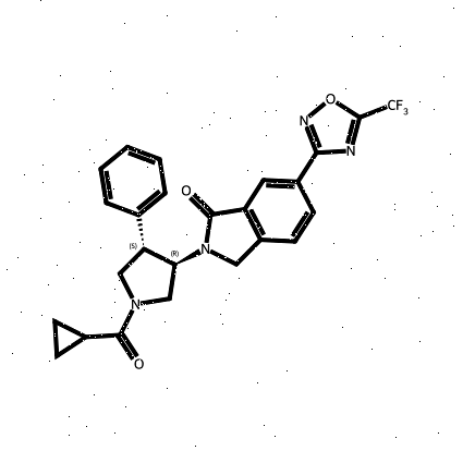 O=C(C1CC1)N1C[C@H](c2ccccc2)[C@@H](N2Cc3ccc(-c4noc(C(F)(F)F)n4)cc3C2=O)C1